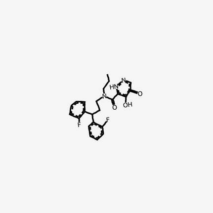 CCCN(CCC(c1ccccc1F)c1ccccc1F)C(=O)c1[nH]ncc(=O)c1O